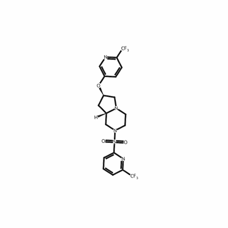 O=S(=O)(c1cccc(C(F)(F)F)n1)N1CCN2C[C@H](Oc3ccc(C(F)(F)F)nc3)C[C@H]2C1